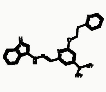 CCCN(CCC)c1cc(/C=N/Nc2c[nH]c3ccccc23)nc(OCCc2ccccn2)c1